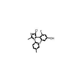 Cc1ccc(-n2c(C)nc(Cl)c2-c2c(F)cc(O)cc2F)cc1